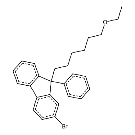 CCOCCCCCCC1(c2ccccc2)c2ccccc2-c2ccc(Br)cc21